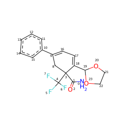 NC(=O)C1(C(F)(F)F)CC(c2ccccc2)=CC=C1C1OCCO1